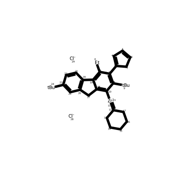 CCc1c(C2=CC=CC2)c(C(C)(C)C)[c]([Zr+2]=[C]2CCCCC2)c2c1-c1ccc(C(C)(C)C)cc1C2.[Cl-].[Cl-]